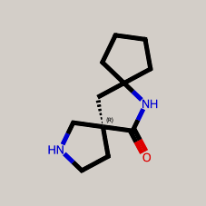 O=C1NC2(CCCC2)C[C@@]12CCNC2